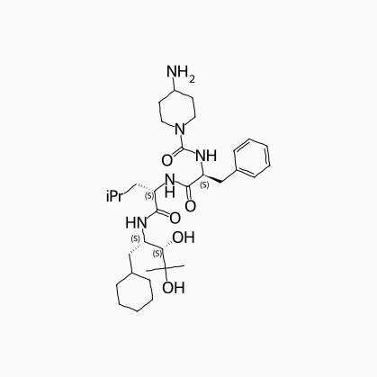 CC(C)C[C@H](NC(=O)[C@H](Cc1ccccc1)NC(=O)N1CCC(N)CC1)C(=O)N[C@@H](CC1CCCCC1)[C@H](O)C(C)(C)O